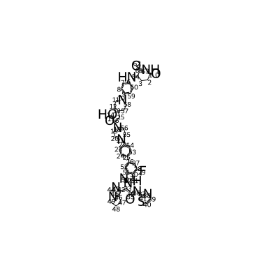 O=C1CCC(Nc2ccc(N3CCC(O)(CC(=O)N4CCN(c5ccc(-c6cc(F)c7cn(C(C(=O)Nc8nccs8)c8ncn9c8CCC9)nc7c6)cc5)CC4)CC3)cc2)C(=O)N1